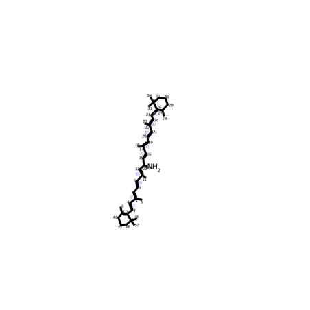 CC1=C(/C=C/C(C)=C/C=C/C(C)=C/C(N)/C=C/C(C)=C/C=C/C(C)=C/C=C2\C(C)CCCC2(C)C)C(C)(C)CCC1